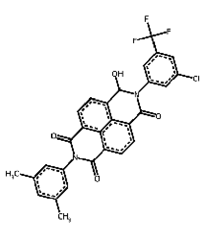 Cc1cc(C)cc(N2C(=O)c3ccc4c5c(ccc(c35)C2=O)C(O)N(c2cc(Cl)cc(C(F)(F)F)c2)C4=O)c1